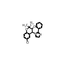 CC1(C)Oc2ccc(Cl)cc2C(n2ccnc2-c2ccccc2)C1O